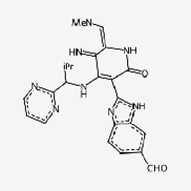 CN/C=C1/NC(=O)C(c2nc3ccc(C=O)cc3[nH]2)=C(NC(c2ncccn2)C(C)C)C1=N